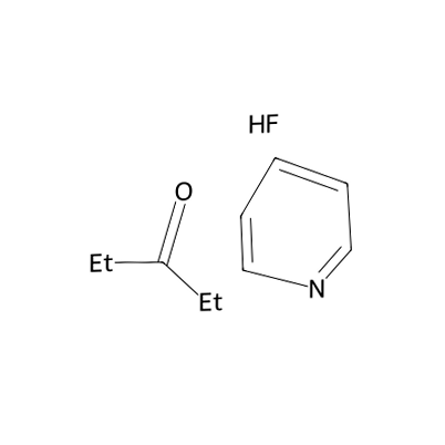 CCC(=O)CC.F.c1ccncc1